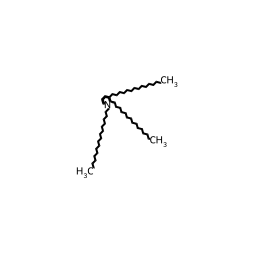 CCCCCCCCCCCCCCCCCC[n+]1cccc(CCCCCCCCCCCCCCC)c1CCCCCCCCCCCCCCC